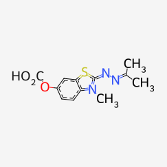 CC(C)=NN=c1sc2cc(OC(=O)O)ccc2n1C